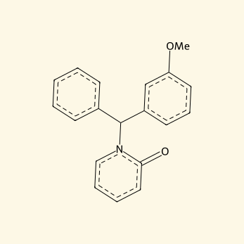 COc1cccc(C(c2ccccc2)n2ccccc2=O)c1